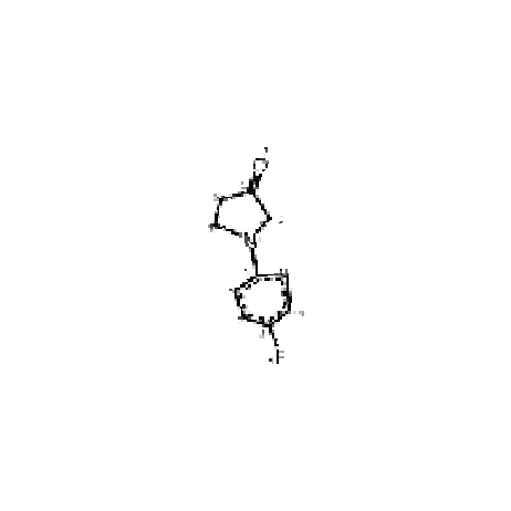 O=C1CCN(c2ccc(F)cc2)C1